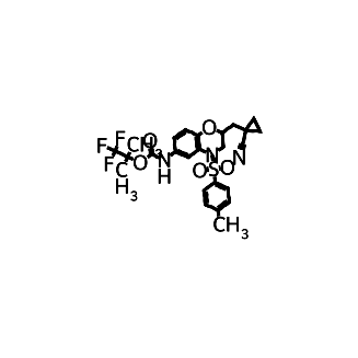 Cc1ccc(S(=O)(=O)N2CC(CC3(C#N)CC3)Oc3ccc(NC(=O)OC(C)(C)C(F)(F)F)cc32)cc1